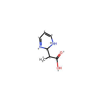 CC(C(=O)O)C1N=CC=CN1